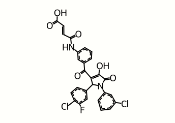 O=C(O)C=CC(=O)Nc1cccc(C(=O)C2=C(O)C(=O)N(c3cccc(Cl)c3)C2c2ccc(Cl)c(F)c2)c1